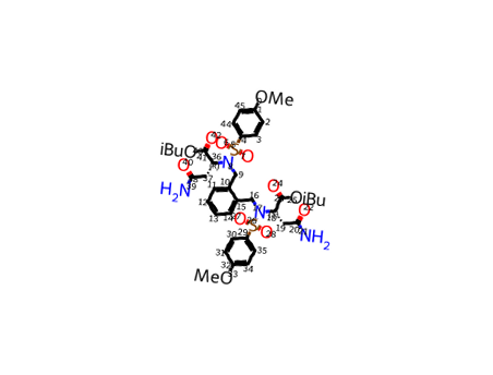 COc1ccc(S(=O)(=O)N(Cc2ccccc2CN([C@@H](CC(N)=O)C(=O)OCC(C)C)S(=O)(=O)c2ccc(OC)cc2)[C@H](CC(N)=O)C(=O)OCC(C)C)cc1